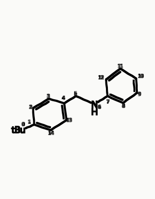 CC(C)(C)c1ccc(CNc2ccccc2)cc1